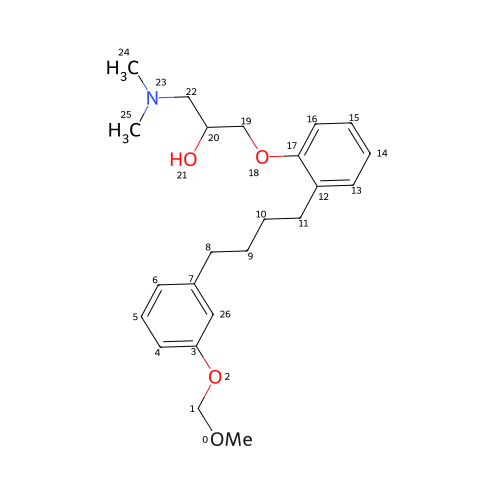 COCOc1cccc(CCCCc2ccccc2OCC(O)CN(C)C)c1